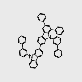 c1ccc(-c2cccc(-n3c4ccccc4c4ccc(-c5ccc6c7cc(-c8ccccc8)cc(-c8ccccc8)c7n(-c7cccc(-c8ccccc8)c7)c6c5)cc43)c2)cc1